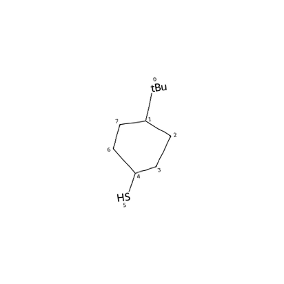 CC(C)(C)C1CCC(S)CC1